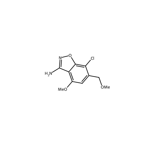 COCc1cc(OC)c2c(N)noc2c1Cl